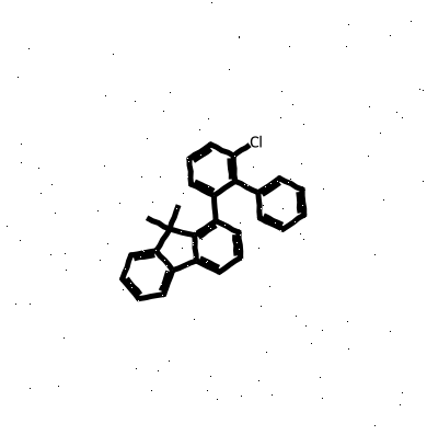 CC1(C)c2ccccc2-c2cccc(-c3cccc(Cl)c3-c3ccccc3)c21